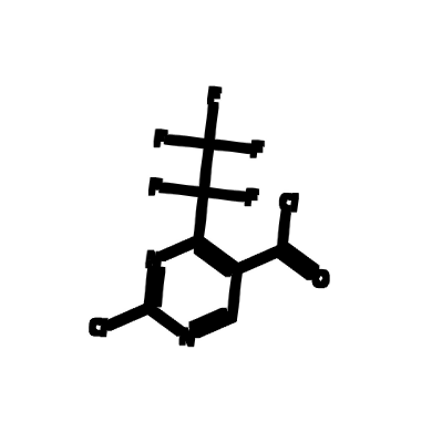 O=C(Cl)c1cnc(Cl)nc1C(F)(F)C(F)(F)F